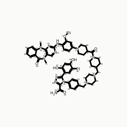 CCOc1cc(N2CCC(C(=O)N3CCC(CN4CCN(Cc5ccc(-n6c(C(N)=O)nnc6-c6cc(CC)c(O)cc6O)cc5)CC4)CC3)CC2)ccc1Nc1ncc2c(n1)N(C)c1ccccc1C(=O)N2C